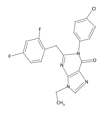 CCn1cnc2c(=O)n(-c3ccc(Cl)cc3)c(Cc3ccc(F)cc3F)nc21